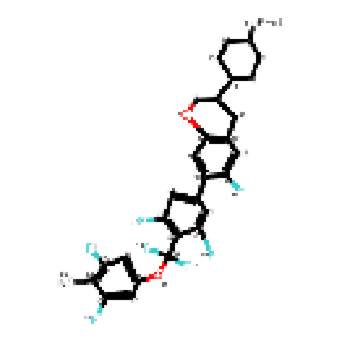 CCCCCC1CCC(C2COc3cc(-c4cc(F)c(C(F)(F)Oc5cc(F)c(C#N)c(F)c5)c(F)c4)c(F)cc3C2)CC1